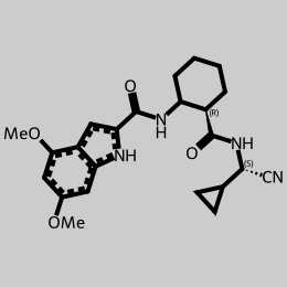 COc1cc(OC)c2cc(C(=O)NC3CCCC[C@H]3C(=O)N[C@H](C#N)C3CC3)[nH]c2c1